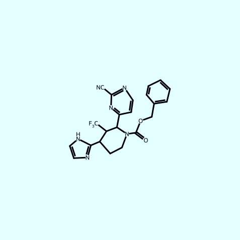 N#Cc1nccc(C2C(C(F)(F)F)C(c3ncc[nH]3)CCN2C(=O)OCc2ccccc2)n1